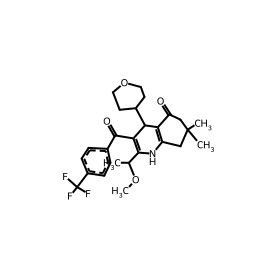 COC(C)C1=C(C(=O)c2ccc(C(F)(F)F)cc2)C(C2CCOCC2)C2=C(CC(C)(C)CC2=O)N1